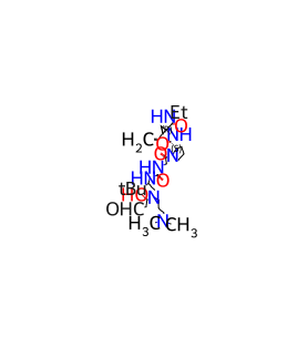 C=CC1C[C@]1(NC(=O)[C@@H]1CCCN1C(=O)CNC(=O)NC(CN(CCCN(C)C)C(O)CC=O)C(C)(C)C)C(=O)NCC